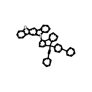 C(#CC1(c2ccc(-c3ccccc3)cc2)c2ccccc2-c2c(-n3c4ccccc4c4cc5oc6ccccc6c5cc43)cccc21)c1ccccc1